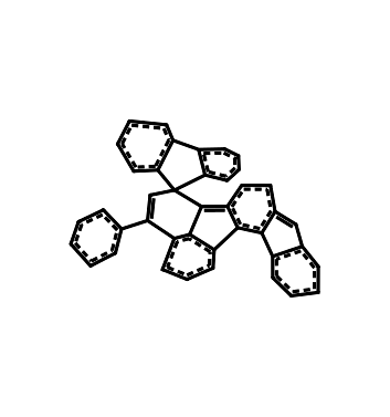 C1=C(c2ccccc2)c2cccc3c2C(=c2ccc4c(c2-3)-c2ccccc2C=4)C12c1ccccc1-c1ccccc12